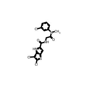 CN(C(=O)CNC(=O)c1cc2sc(Cl)c(Cl)c2[nH]1)c1cccc(Cl)c1